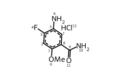 COc1cc(F)c(N)cc1C(N)=O.Cl